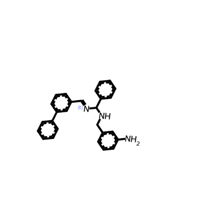 Nc1cccc(CNC(/N=C/c2cccc(-c3ccccc3)c2)c2ccccc2)c1